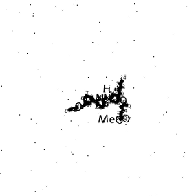 C=CCOCc1cccc(-c2ccnc(Nc3ccc(OC(C)CCCC(=O)OC)c(COCC=C)c3)n2)c1